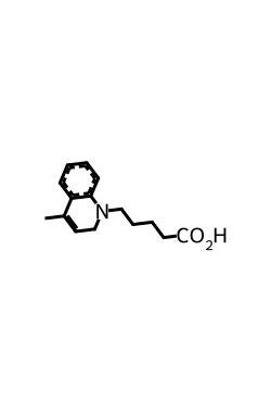 CC1=CCN(CCCCC(=O)O)c2ccccc21